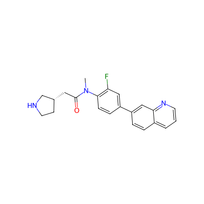 CN(C(=O)C[C@@H]1CCNC1)c1ccc(-c2ccc3cccnc3c2)cc1F